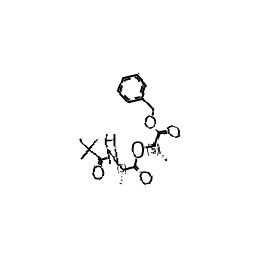 C[C@H](NC(=O)C(C)(C)C)C(=O)O[C@@H](C)C(=O)OCc1ccccc1